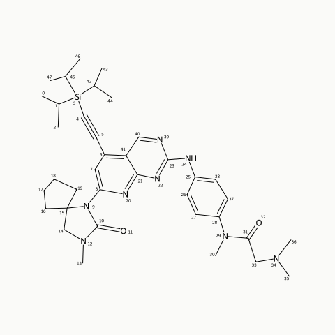 CC(C)[Si](C#Cc1cc(N2C(=O)N(C)CC23CCCC3)nc2nc(Nc3ccc(N(C)C(=O)CN(C)C)cc3)ncc12)(C(C)C)C(C)C